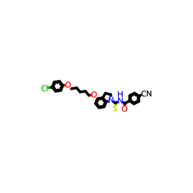 N#Cc1ccc(C(=O)NC(=S)N2CCc3c(OCCCCCOc4ccc(Cl)cc4)cccc32)cc1